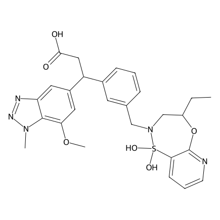 CCC1CN(Cc2cccc(C(CC(=O)O)c3cc(OC)c4c(c3)nnn4C)c2)S(O)(O)c2cccnc2O1